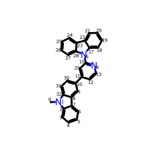 Cn1c2ccccc2c2cc(-c3ccnc(-n4c5ccccc5c5ccccc54)c3)ccc21